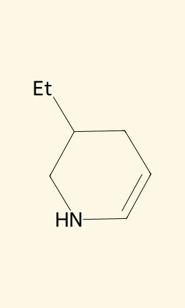 CCC1CC=CNC1